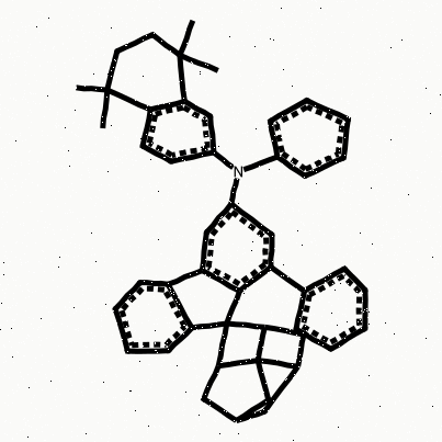 CC1(C)CCC(C)(C)c2cc(N(c3ccccc3)c3cc(-c4ccccc4)c4c(c3)-c3ccccc3C43C4CC5CC6CC3C64C5)ccc21